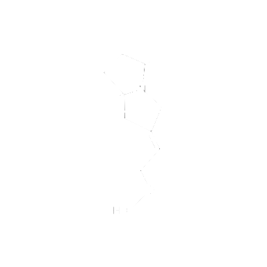 COCC=C1CC2CCCN2C1